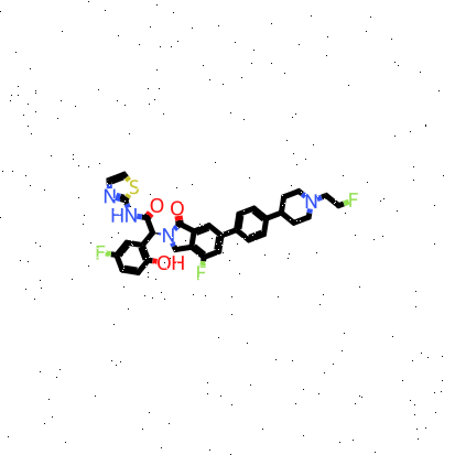 O=C(Nc1nccs1)[C@@H](c1cc(F)ccc1O)N1Cc2c(F)cc(-c3ccc(C4CCN(CCF)CC4)cc3)cc2C1=O